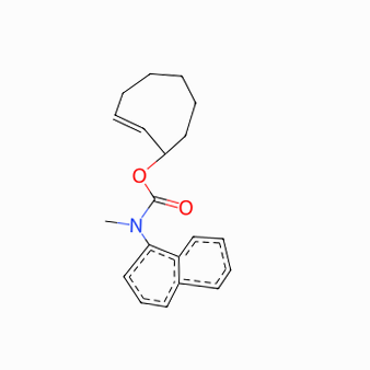 CN(C(=O)OC1/C=C/CCCCC1)c1cccc2ccccc12